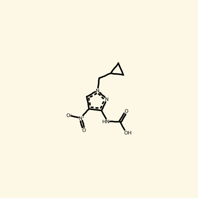 O=C(O)Nc1nn(CC2CC2)cc1[N+](=O)[O-]